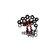 O=C(O)CCCCc1ccc([C@@]23C4=C5[C@@]6(c7ccc(CCCCC(=O)O)cc7)c7c8ccc(c72)-c2ccc7c(c23)[C@@]2(c3ccc(CCCCO)cc3)C4=C3[C@]4(c9ccc(CCCCO)cc9)c9c(ccc-7c92)-c2ccc7c(c24)[C@](c2ccc(CCCCC(=O)O)cc2)(c2c-7ccc-8c26)[C@@]35Cl)cc1